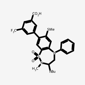 CCCCC1CN(c2ccccc2)c2cc(SC)c(-c3cc(C(=O)O)cc(C(F)(F)F)c3)cc2S(=O)(=O)N1C